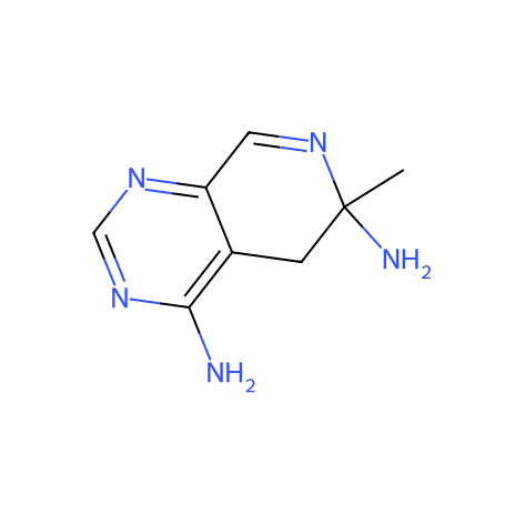 CC1(N)Cc2c(N)ncnc2C=N1